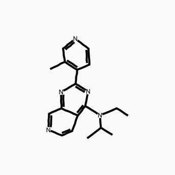 CCN(c1nc(-c2ccncc2C)nc2cnccc12)C(C)C